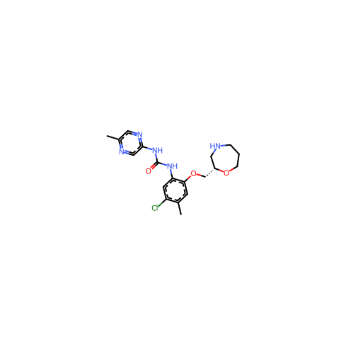 Cc1cnc(NC(=O)Nc2cc(Cl)c(C)cc2OC[C@@H]2CNCCCO2)cn1